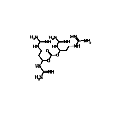 N=C(N)NCCC(NC(=N)N)OC(=O)OC(CCNC(=N)N)NC(=N)N